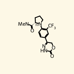 CNC(=O)[C@@H]1CCCN1c1ccc(C2=NNC(=O)OC2)cc1C(F)(F)F